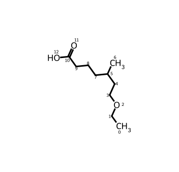 CCOCCC(C)CCCC(=O)O